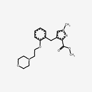 COC(=O)c1nn(C)cc1Cc1ccccc1OCCN1CCOCC1